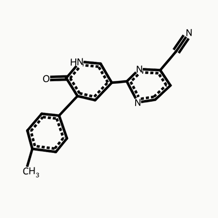 Cc1ccc(-c2cc(-c3nccc(C#N)n3)c[nH]c2=O)cc1